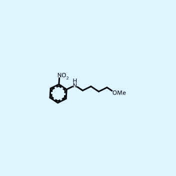 COCCCCNc1ccccc1[N+](=O)[O-]